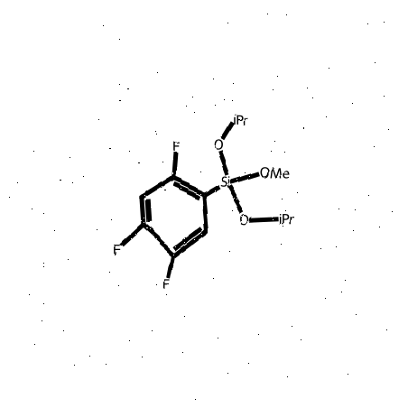 CO[Si](OC(C)C)(OC(C)C)c1cc(F)c(F)cc1F